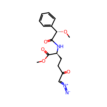 COC(=O)[C@H](CCC(=O)C=[N+]=[N-])NC(=O)[C@@H](OC)c1ccccc1